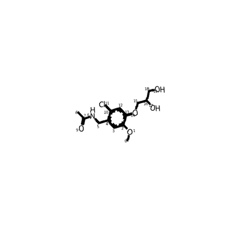 COc1cc(CNC(C)=O)c(Cl)cc1OCC(O)CO